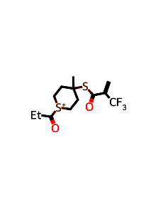 C=C(C(=O)SC1(C)CC[S+](C(=O)CC)CC1)C(F)(F)F